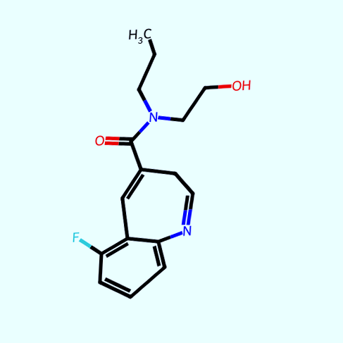 CCCN(CCO)C(=O)C1=Cc2c(F)cccc2N=CC1